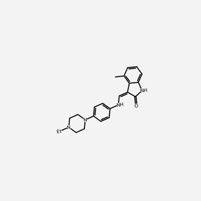 CCN1CCN(c2ccc(NC=C3C(=O)Nc4cccc(C)c43)cc2)CC1